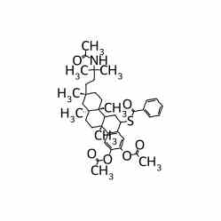 CC(=O)NC(C)(C)CC[C@]1(C)CC[C@]2(C)C3CC(SC(=O)c4ccccc4)c4cc(OC(C)=O)c(OC(C)=O)cc4[C@]3(C)CC[C@@]2(C)C1